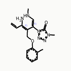 C=C/C(N)=C(COc1ccccc1C)/C(=C\NC)n1nnn(C)c1=O